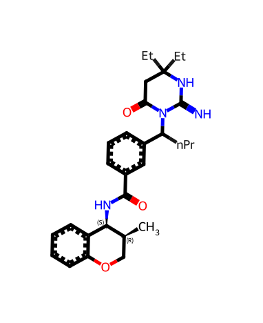 CCCC(c1cccc(C(=O)N[C@@H]2c3ccccc3OC[C@@H]2C)c1)N1C(=N)NC(CC)(CC)CC1=O